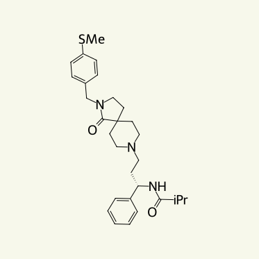 CSc1ccc(CN2CCC3(CCN(CC[C@H](NC(=O)C(C)C)c4ccccc4)CC3)C2=O)cc1